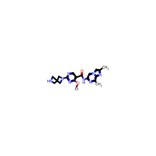 CCOc1nc(N2CC3(CNC3)C2)ncc1C(=O)Nc1cn2cc(C)nc2c(C)n1